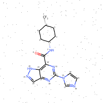 O=C(N[C@H]1CC[C@@H](C(F)(F)F)CC1)c1nc(-n2ccnc2)nc2cn[nH]c12